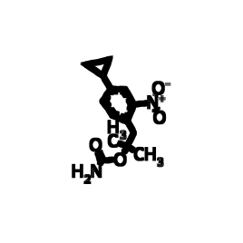 CC(C)(Cc1ccc(C2CC2)cc1[N+](=O)[O-])OC(N)=O